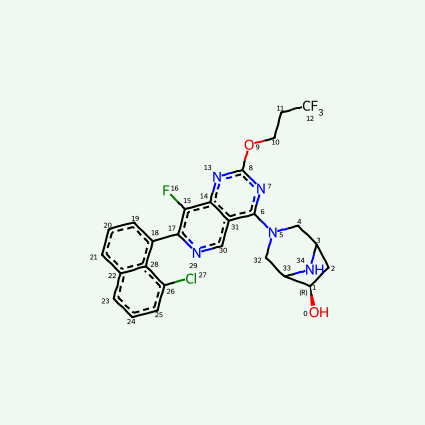 O[C@@H]1CC2CN(c3nc(OCCC(F)(F)F)nc4c(F)c(-c5cccc6cccc(Cl)c56)ncc34)CC1N2